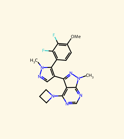 COc1ccc(-c2c(-c3nn(C)c4ncnc(N5CCC5)c34)cnn2C)c(F)c1F